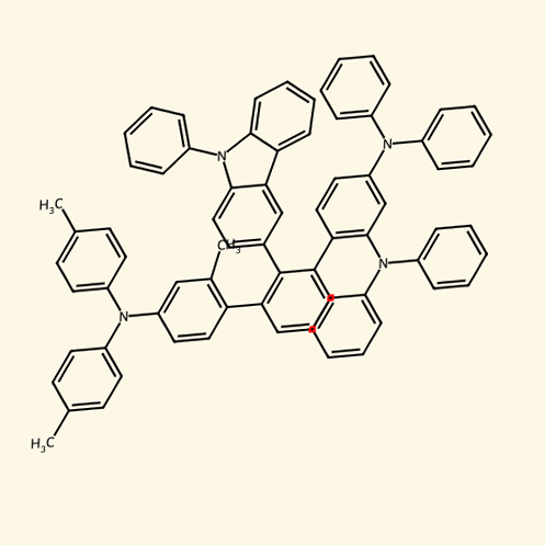 Cc1ccc(N(c2ccc(C)cc2)c2ccc(-c3cccc(-c4ccc(N(c5ccccc5)c5ccccc5)cc4N(c4ccccc4)c4ccccc4)c3-c3ccc4c(c3)c3ccccc3n4-c3ccccc3)c(C)c2)cc1